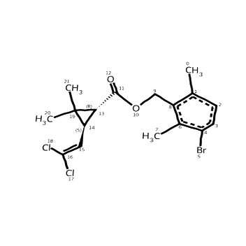 Cc1ccc(Br)c(C)c1COC(=O)[C@@H]1[C@@H](C=C(Cl)Cl)C1(C)C